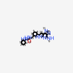 CNc1nc2[nH]c(-c3cccc(CNC(=O)Nc4ccccc4)c3)cc2c2c1ncn2C